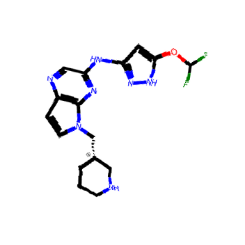 FC(F)Oc1cc(Nc2cnc3ccn(C[C@H]4CCCNC4)c3n2)n[nH]1